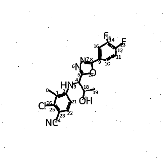 Cc1c(N[C@@H](c2nnc(-c3ccc(F)c(F)c3)o2)[C@@H](C)O)ccc(C#N)c1Cl